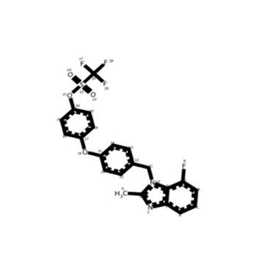 Cc1nc2cccc(F)c2n1Cc1ccc(Oc2ccc(OS(=O)(=O)C(F)(F)F)cc2)cc1